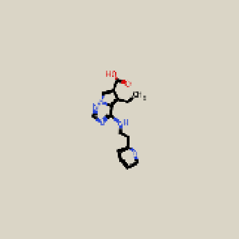 CCc1c(C(=O)O)cn2ncnc(NCCc3ccccn3)c12